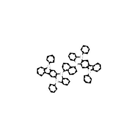 c1ccc(N2c3ccccc3N(c3cccc4c(N5c6ccccc6N(c6ccccc6)c6cc7c8ccccc8n(-c8ccccc8)c7cc65)cccc34)c3cc4c(cc32)c2ccccc2n4-c2ccccc2)cc1